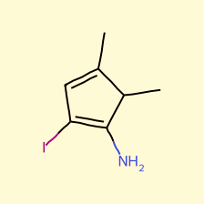 CC1=CC(I)=C(N)C1C